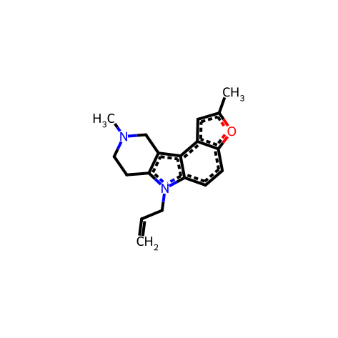 C=CCn1c2c(c3c4cc(C)oc4ccc31)CN(C)CC2